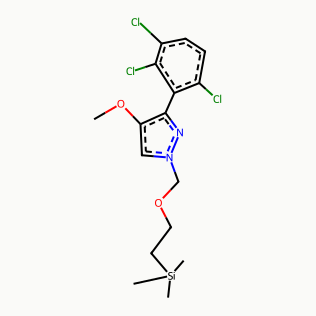 COc1cn(COCC[Si](C)(C)C)nc1-c1c(Cl)ccc(Cl)c1Cl